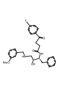 COc1cccc(CNC[C@H](O)[C@H](Cc2ccccc2)NC(=O)CCC(=O)c2ccc(F)cc2)c1